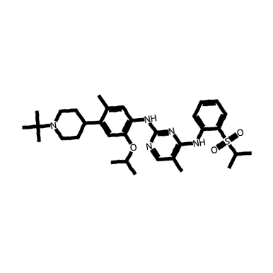 Cc1cc(Nc2ncc(C)c(Nc3ccccc3S(=O)(=O)C(C)C)n2)c(OC(C)C)cc1C1CCN(C(C)(C)C)CC1